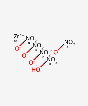 O=[N+]([O-])O.O=[N+]([O-])[O-].O=[N+]([O-])[O-].O=[N+]([O-])[O-].O=[N+]([O-])[O-].[Zr+4]